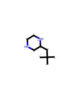 CC(C)(C)CC1CNCCN1